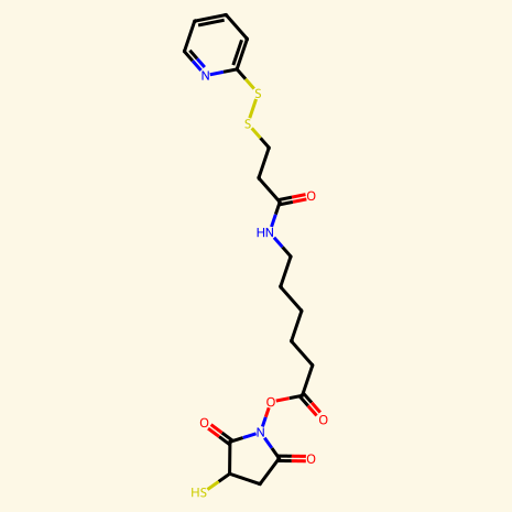 O=C(CCSSc1ccccn1)NCCCCCC(=O)ON1C(=O)CC(S)C1=O